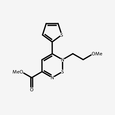 COCCN1SN=C(C(=O)OC)C=C1c1cccs1